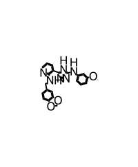 COc1cccc(Nc2nnc(-c3cccnc3NCc3ccc4c(c3)OCO4)[nH]2)c1